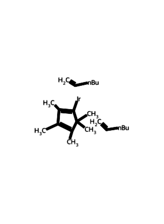 C=CCCCC.C=CCCCC.CC1=C(C)C(C)(C)[C]([Ir])=C1C